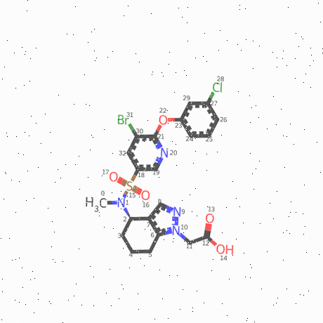 CN([C@@H]1CCCc2c1cnn2CC(=O)O)S(=O)(=O)c1cnc(Oc2cccc(Cl)c2)c(Br)c1